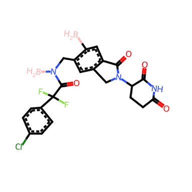 Bc1cc2c(cc1CN(B)C(=O)C(F)(F)c1ccc(Cl)cc1)CN(C1CCC(=O)NC1=O)C2=O